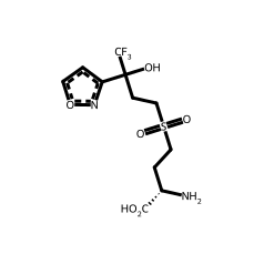 N[C@@H](CCS(=O)(=O)CCC(O)(c1ccon1)C(F)(F)F)C(=O)O